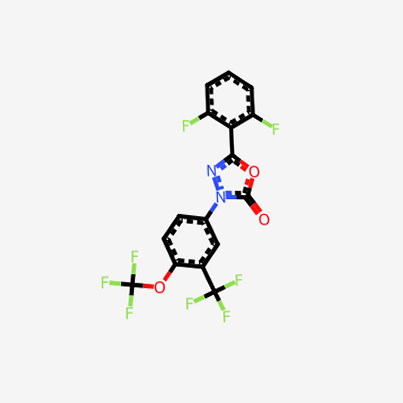 O=c1oc(-c2c(F)cccc2F)nn1-c1ccc(OC(F)(F)F)c(C(F)(F)F)c1